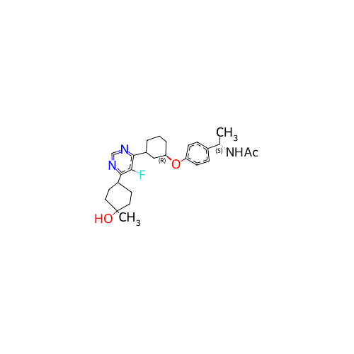 CC(=O)N[C@@H](C)c1ccc(O[C@@H]2CCCC(c3ncnc(C4CCC(C)(O)CC4)c3F)C2)cc1